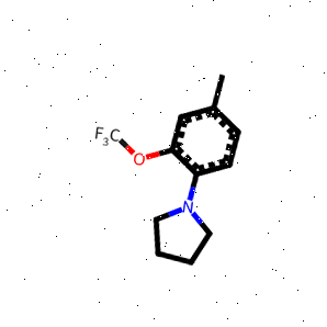 Cc1ccc(N2CCCC2)c(OC(F)(F)F)c1